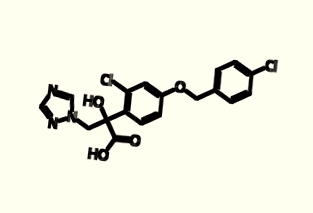 O=C(O)C(O)(Cn1cncn1)c1ccc(OCc2ccc(Cl)cc2)cc1Cl